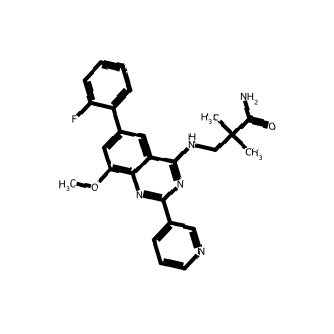 COc1cc(-c2ccccc2F)cc2c(NCC(C)(C)C(N)=O)nc(-c3cccnc3)nc12